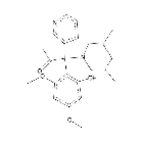 COc1cc(O)c(C(C(C)=O)(c2cccnc2)N2CC(C)CC(C)C2)c(OC)c1